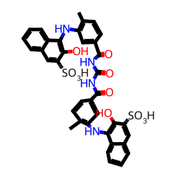 Cc1ccc(C(=O)NC(=O)NC(=O)c2ccc(C)c(Nc3c(O)c(S(=O)(=O)O)cc4ccccc34)c2)cc1Nc1c(O)c(S(=O)(=O)O)cc2ccccc12